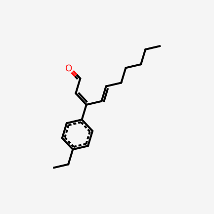 CCCCCC=CC(=CC=O)c1ccc(CC)cc1